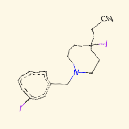 N#CCC1(I)CCN(Cc2cccc(I)c2)CC1